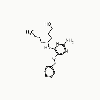 CCCC[C@H](CCCO)Nc1nc(N)ncc1OCc1ccccc1